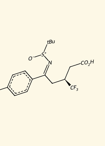 CC(C)(C)[S+]([O-])/N=C(/C[C@@H](CC(=O)O)C(F)(F)F)c1ccc(F)cc1